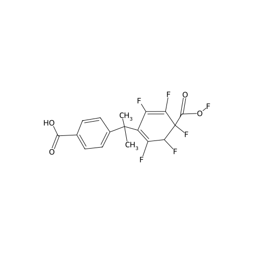 CC(C)(C1=C(F)C(F)C(F)(C(=O)OF)C(F)=C1F)c1ccc(C(=O)O)cc1